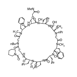 CCCCN1CC(=O)N(C)[C@@H](Cc2ccccc2)C(=O)N[C@@H](COCC(=O)NC)C(=O)N(C)[C@@H](CC(C)C)C(=O)N[C@@H]([C@@H](C)O)C(=O)N(CCC)CC(=O)N(C)[C@@H](Cc2ccccc2)C(=O)N(C)[C@@H](CC(C)C)C(=O)N[C@@H](CC(C)C)C(=O)N(C)[C@@H](CC(C)C)C(=O)N[C@H](C(=O)N2CCCCC2)CC1=O